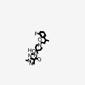 CC(CC(=O)N1CCC(O)(Cn2cnc3c(cnn3C)c2=O)CC1)c1cccc(F)c1